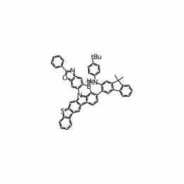 CC(C)(C)c1ccc(Nc2cc3c(cc2-c2ccc4c5cc6c(cc5n5c4c2Bc2cc4nc(-c7ccccc7)oc4cc2-5)sc2ccccc26)-c2ccccc2C3(C)C)cc1